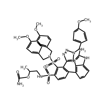 COc1ccc(CN(Cc2ccc(OC)cc2)S(=O)(=O)c2c(S(=O)(=O)NCC(C)OC(N)=O)ccc(-c3cccc4[nH]c(N)nc34)c2-c2nnn(Cc3ccc(OC)cc3)n2)cc1